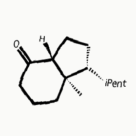 CCC[C@@H](C)[C@H]1CC[C@H]2C(=O)CCC[C@]12C